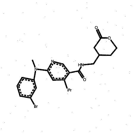 CC(C)c1cc(N(C)c2cccc(Br)c2)ncc1C(=O)NCC1CCOC(=O)C1